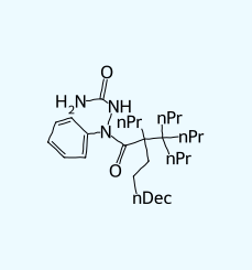 CCCCCCCCCCCCC(CCC)(C(=O)N(NC(N)=O)c1ccccc1)C(CCC)(CCC)CCC